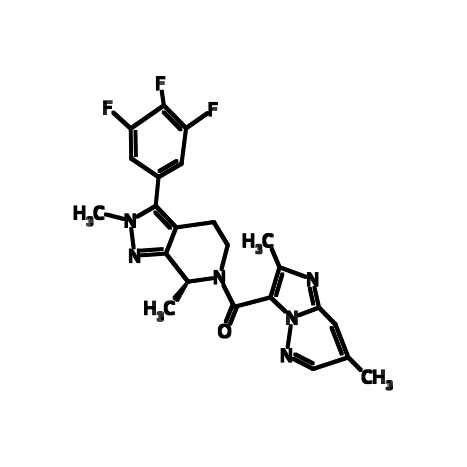 Cc1cnn2c(C(=O)N3CCc4c(nn(C)c4-c4cc(F)c(F)c(F)c4)[C@@H]3C)c(C)nc2c1